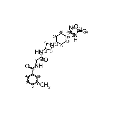 Cc1cccc(C(=O)NCC(=O)NC2CN([C@H]3CC[C@@H](c4noc(=O)[nH]4)CC3)C2)c1